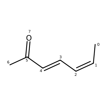 C/C=C\C=C\C(C)=O